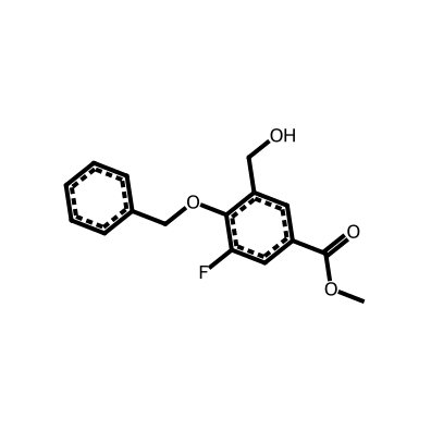 COC(=O)c1cc(F)c(OCc2ccccc2)c(CO)c1